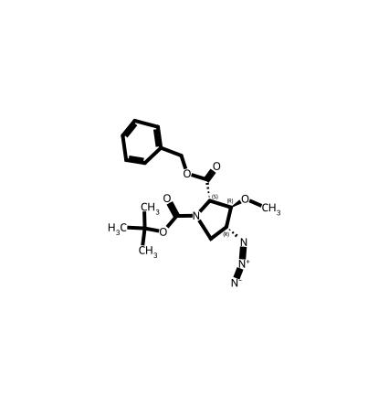 CO[C@@H]1[C@@H](C(=O)OCc2ccccc2)N(C(=O)OC(C)(C)C)C[C@H]1N=[N+]=[N-]